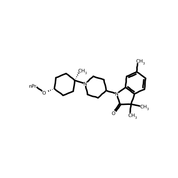 CCCO[C@H]1CC[C@](C)(N2CCC(N3C(=O)C(C)(C)c4ccc(C)cc43)CC2)CC1